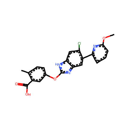 COc1cccc(-c2cc3nc(Oc4ccc(C)c(C(=O)O)c4)[nH]c3cc2Cl)n1